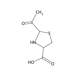 CC(=O)C1NC(C(=O)O)CS1